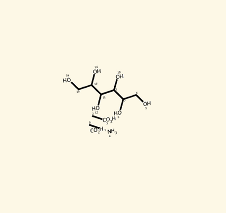 CC(=O)O.CC(=O)O.N.OCC(O)C(O)C(O)C(O)CO